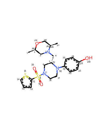 C[C@@H]1CN(C[C@H]2CN(S(=O)(=O)c3cccs3)CCN2c2ccc(O)cc2)[C@H](C)CO1